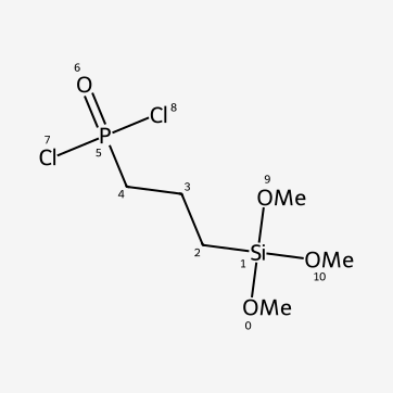 CO[Si](CCCP(=O)(Cl)Cl)(OC)OC